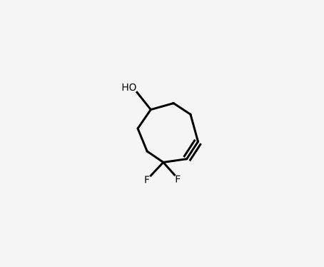 OC1CCC#CC(F)(F)CC1